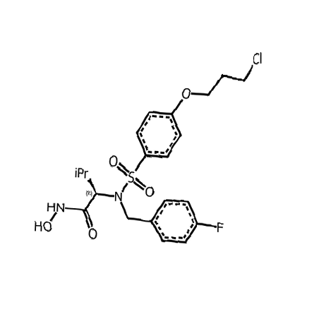 CC(C)[C@H](C(=O)NO)N(Cc1ccc(F)cc1)S(=O)(=O)c1ccc(OCCCCl)cc1